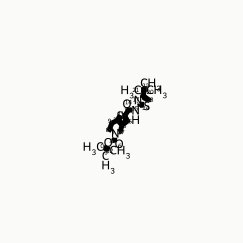 CC(C)(C)OC(=O)N1CCc2sc(C(=O)Nc3nc(C(C)(C)C)cs3)cc2C1